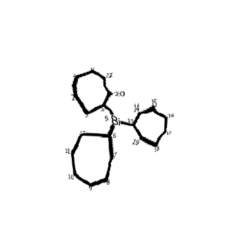 C1CCC[CH]([Bi]([CH]2CCCCCC2)[CH]2CCCCCC2)CC1